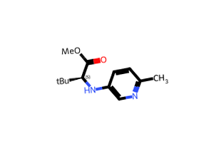 COC(=O)[C@@H](Nc1ccc(C)nc1)C(C)(C)C